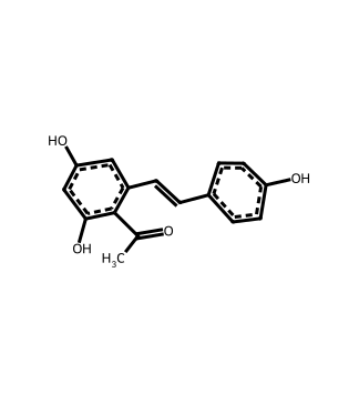 CC(=O)c1c(O)cc(O)cc1C=Cc1ccc(O)cc1